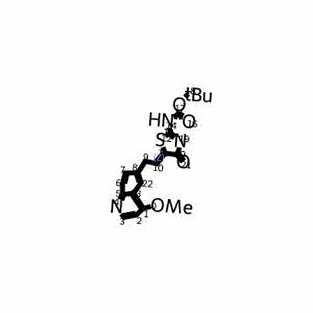 COc1ccnc2ccc(C/C=C3\SC(NC(=O)OC(C)(C)C)=NC3=O)cc12